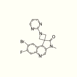 CN1C(=O)C2(CN(c3ncccn3)C2)c2c1cnc1cc(F)c(Br)cc21